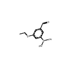 CCOc1cc(C=O)cc(B(O)O)c1